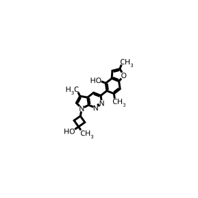 Cc1cc2c(O)c(-c3cc4c(C)cn(C5CC(C)(O)C5)c4nn3)c(C)cc2o1